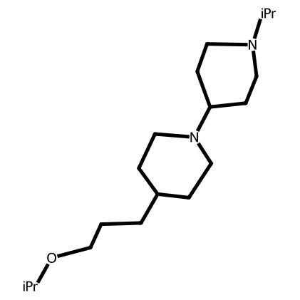 CC(C)OCCCC1CCN(C2CCN(C(C)C)CC2)CC1